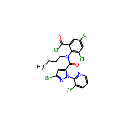 CCCCN(C(=O)c1cc(Br)nn1-c1ncccc1Cl)c1c(Cl)cc(Cl)cc1C(=O)Cl